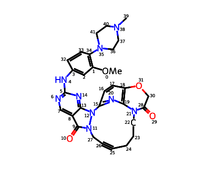 COc1cc(Nc2ncc3c(=O)n4n(c3n2)-c2ccc3c(n2)N(CCCC#CC4)C(=O)CO3)ccc1N1CCN(C)CC1